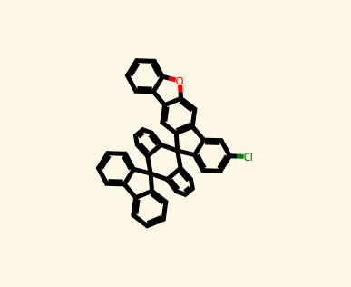 Clc1ccc2c(c1)-c1cc3oc4ccccc4c3cc1C21c2ccccc2C2(c3ccccc3-c3ccccc32)c2ccccc21